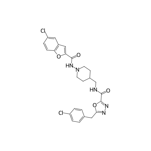 O=C(NN1CCC(CNC(=O)c2nnc(Cc3ccc(Cl)cc3)o2)CC1)c1cc2cc(Cl)ccc2o1